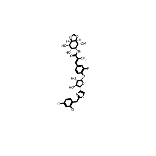 C/C(=C\c1ccc(O[C@@H]2O[C@H](c3csc(Cc4ccc(Cl)cc4Cl)n3)[C@@H](O)[C@@H]2O)c(F)c1)C(=O)N[C@@H]1[C@H](O)[C@@H](O)[C@H]2OCO[C@H]2[C@@H]1O